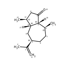 C=C(C)[C@@H]1CC[C@H](C)[C@H]2C(=O)C[C@H](C)[C@H]2C1